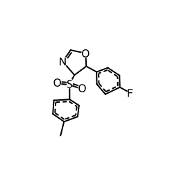 Cc1ccc(S(=O)(=O)C2N=COC2c2ccc(F)cc2)cc1